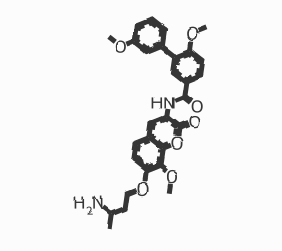 COc1cccc(-c2cc(C(=O)Nc3cc4ccc(OCCC(C)N)c(OC)c4oc3=O)ccc2OC)c1